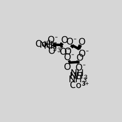 N.N.N.N.N.O=C([O-])C(=O)[O-].O=C([O-])C(=O)[O-].O=C([O-])C(=O)[O-].[Co+3].[Co+3]